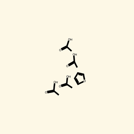 CC(=O)O.CC(=O)O.CC(=O)O.CC(=O)O.c1ccoc1